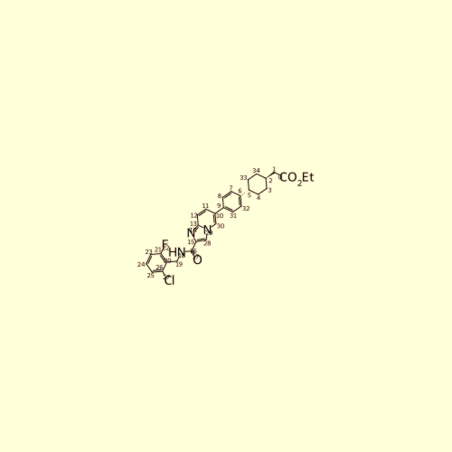 CCOC(=O)C[C@H]1CC[C@H](c2ccc(-c3ccc4nc(C(=O)NCc5c(F)cccc5Cl)cn4c3)cc2)CC1